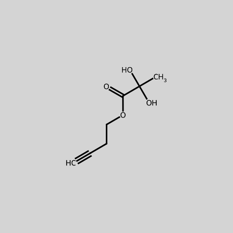 C#CCCOC(=O)C(C)(O)O